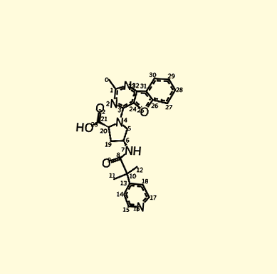 Cc1nc(N2C[C@@H](NC(=O)C(C)(C)c3ccncc3)C[C@H]2C(=O)O)c2oc3ccccc3c2n1